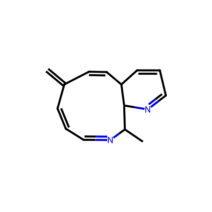 C=C1/C=C\C=N/C(C)C2N=CC=CC2/C=C\1